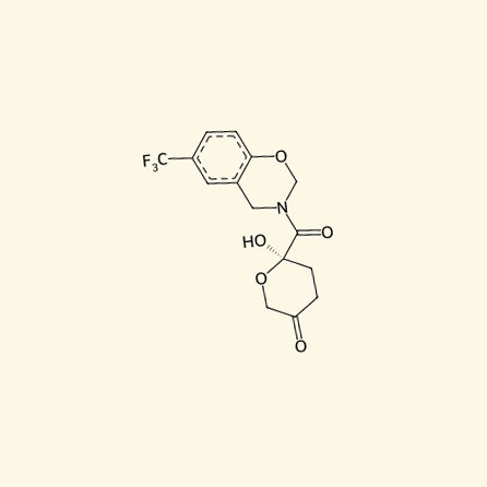 O=C1CC[C@](O)(C(=O)N2COc3ccc(C(F)(F)F)cc3C2)OC1